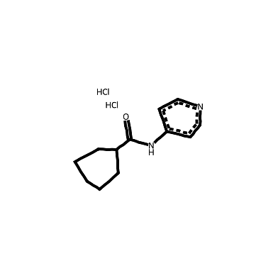 Cl.Cl.O=C(Nc1ccncc1)C1CCCCC1